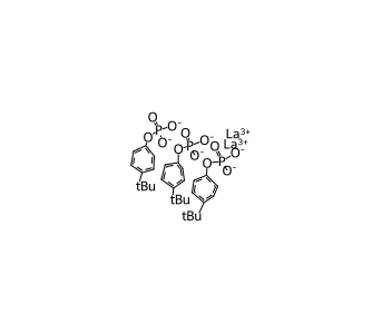 CC(C)(C)c1ccc(OP(=O)([O-])[O-])cc1.CC(C)(C)c1ccc(OP(=O)([O-])[O-])cc1.CC(C)(C)c1ccc(OP(=O)([O-])[O-])cc1.[La+3].[La+3]